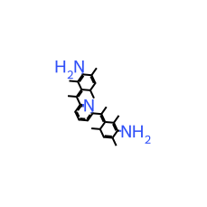 CC1=CC(C)C(=C(C)c2cccc(C(C)=C3C(C)=C(N)C(C)=CC3C)n2)C(C)=C1N